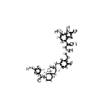 CC(C)c1nc(C(=O)N2CCCC3(CCN(Cc4ccc(F)c(CCNCC(O)c5ccc(O)c6[nH]c(=O)sc56)c4)CO3)C2)cs1